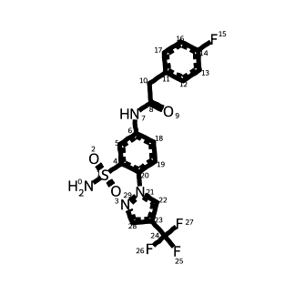 NS(=O)(=O)c1cc(NC(=O)Cc2ccc(F)cc2)ccc1-n1cc(C(F)(F)F)cn1